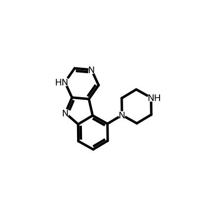 c1cc(N2CCNCC2)c2c3cnc[nH]c-3nc2c1